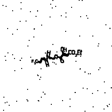 CCOC(=O)/C=C(\O)C(=O)OCNNCCC(F)(F)F